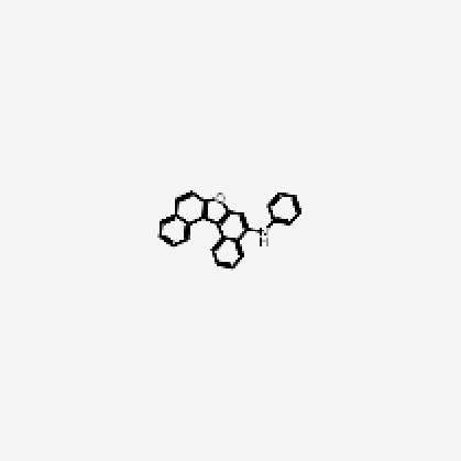 c1ccc(Nc2cc3oc4ccc5ccccc5c4c3c3ccccc23)cc1